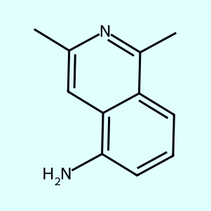 Cc1cc2c(N)cccc2c(C)n1